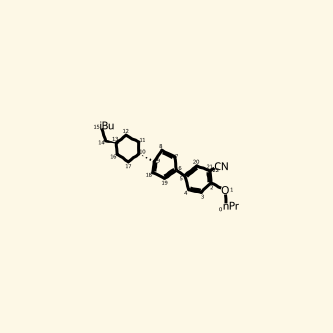 CCCOc1ccc(-c2ccc([C@H]3CC[C@H](CC(C)CC)CC3)cc2)cc1C#N